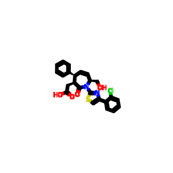 O=C(O)C[C@@H]1C(=O)N(c2nc(-c3ccccc3Cl)cs2)[C@H](CO)C=C[C@H]1c1ccccc1